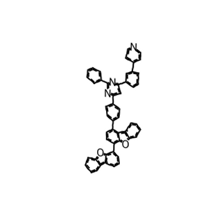 c1ccc(-c2nc(-c3ccc(-c4ccc(-c5cccc6c5oc5ccccc56)c5oc6ccccc6c45)cc3)cc(-c3cccc(-c4ccncc4)c3)n2)cc1